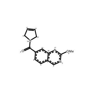 COc1ncc2ccc(C(=O)N3CC=CC3)cc2n1